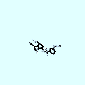 Cc1ccc(NS(=O)(=O)c2cccc(N=[N+]=[N-])c2)c2[nH]cc(C#N)c12